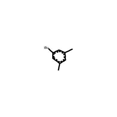 [CH2]C(CC)c1cc(C)cc(C)c1